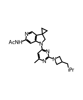 CC(=O)Nc1cc2c(cn1)C1(CC1)CN2c1cc(C)nc(N2CC(CC(C)C)C2)n1